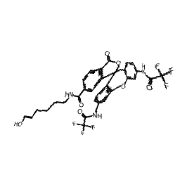 O=C(NCCCCCCO)c1ccc2c(c1)C1(OC2=O)c2ccc(NC(=O)C(F)(F)F)cc2Oc2cc(NC(=O)C(F)(F)F)ccc21